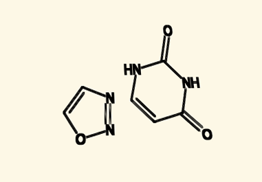 O=c1cc[nH]c(=O)[nH]1.c1conn1